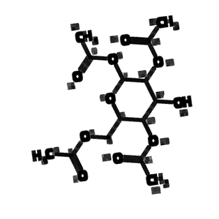 CC(=O)OCC1OC(OC(C)=O)C(OC(C)=O)C(O)C1OC(C)=O